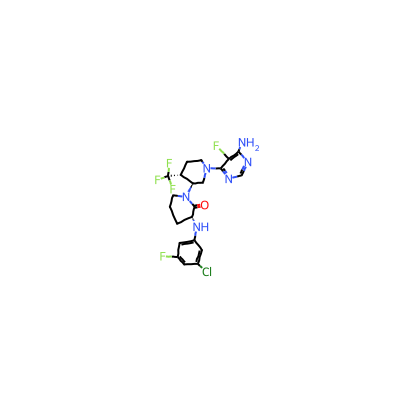 Nc1ncnc(N2CC[C@@H](C(F)(F)F)[C@H](N3CCC[C@@H](Nc4cc(F)cc(Cl)c4)C3=O)C2)c1F